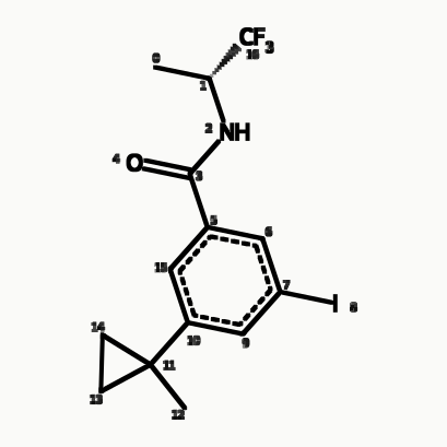 C[C@@H](NC(=O)c1cc(I)cc(C2(C)CC2)c1)C(F)(F)F